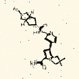 CC(=O)N1C[C@H]2C[C@@H](C(=O)Nc3cc(-c4cc(C(N)=O)n5c4CC(C)(C)C5)ccn3)C[C@H]2C1